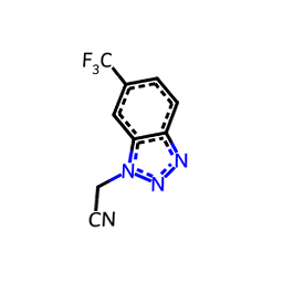 N#CCn1nnc2ccc(C(F)(F)F)cc21